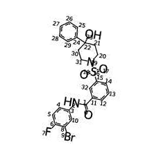 O=C(Nc1ccc(F)c(Br)c1)c1cccc(S(=O)(=O)N2CCC(O)(c3ccccc3)CC2)c1